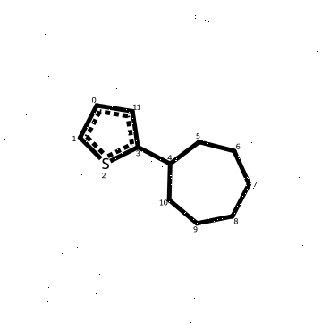 c1csc(C2CCCCCC2)c1